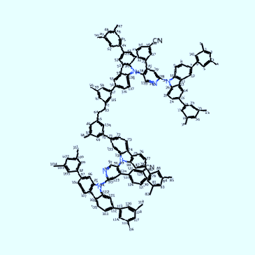 Cc1cc(C)cc(-c2ccc3c(c2)c2cc(-c4cc(C)cc(C)c4)ccc2n3-c2cc(-c3cccc(C#N)c3)c(-n3c4ccc(-c5cc(C)cc(C)c5)cc4c4cc(-c5cc(C)cc(CCc6cc(C)cc(-c7ccc8c9ccc(-c%10cc(C)cc(C)c%10)cc9n(-c9cnc(-n%10c%11cc(-c%12cc(C)cc(C)c%12)ccc%11c%11ccc(-c%12cc(C)cc(C)c%12)cc%11%10)cc9-c9cccc(C#N)c9)c8c7)c6)c5)ccc43)cn2)c1